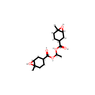 CC(OC(=O)C1CCC2(C)OC2C1)OC(=O)C1CCC2(C)OC2C1